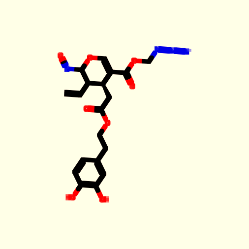 C=CC1C(N=O)OC=C(C(=O)OCN=[N+]=[N-])[C@H]1CC(=O)OCCc1ccc(O)c(O)c1